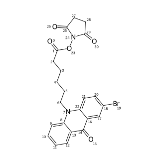 O=C(CCCCCn1c2ccccc2c(=O)c2cc(Br)ccc21)ON1C(=O)CCC1=O